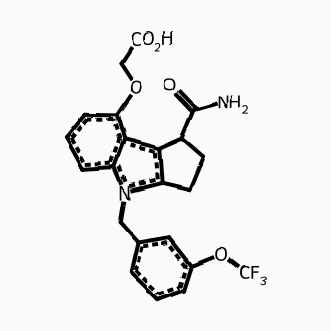 NC(=O)C1CCc2c1c1c(OCC(=O)O)cccc1n2Cc1cccc(OC(F)(F)F)c1